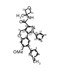 COc1cc2c(cc1-c1ccn(C)n1)-c1c(c(C(=O)NC3(C)COC3)nn1-c1ccsc1)CO2